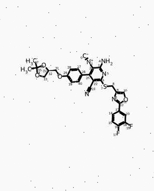 [C-]#[N+]c1c(N)nc(SCc2coc(-c3ccc(F)c(F)c3)n2)c(C#N)c1-c1ccc(OC[C@H]2COC(C)(C)O2)cc1